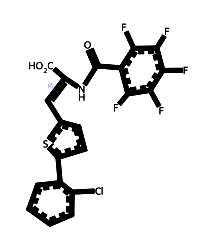 O=C(O)/C(=C/c1ccc(-c2ccccc2Cl)s1)NC(=O)c1c(F)c(F)c(F)c(F)c1F